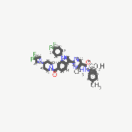 CC1CC2CC(C1)C(NC(=O)c1cnc(-c3cn(C4CCC(F)(F)CC4)c4cc(C(=O)N5CCC(N6CC(F)(F)C6)CC5)ccc34)nc1C(F)(F)F)(C(=O)O)C2